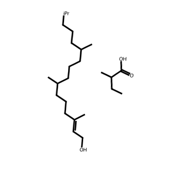 C/C(=C\CO)CCCC(C)CCCC(C)CCCC(C)C.CCC(C)C(=O)O